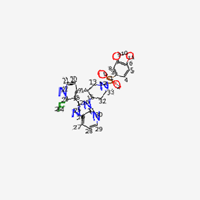 O=S(=O)(c1ccc2c(c1)OCO2)N1CCC(n2c(-c3cccnc3F)nc3cccnc32)CC1